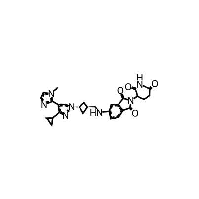 Cn1ccnc1-c1cn([C@H]2C[C@H](CNc3ccc4c(c3)C(=O)N(C3CCC(=O)NC3=O)C4=O)C2)nc1C1CC1